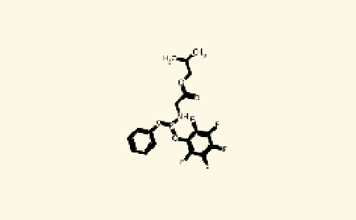 CC(C)COC(=O)CNP(Oc1ccccc1)Oc1c(F)c(F)c(F)c(F)c1F